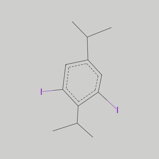 CC(C)c1cc(I)c(C(C)C)c(I)c1